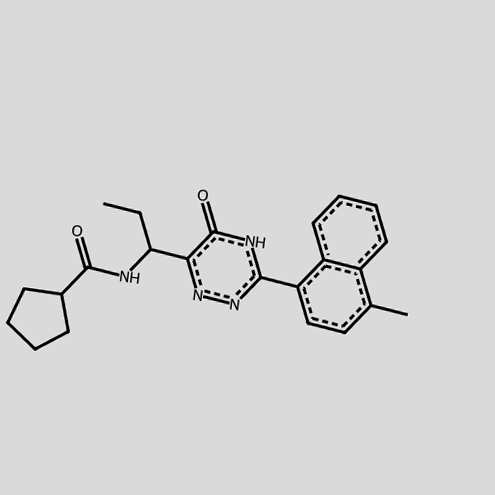 CCC(NC(=O)C1CCCC1)c1nnc(-c2ccc(C)c3ccccc23)[nH]c1=O